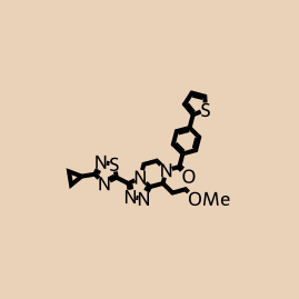 COCCC1c2nnc(-c3nc(C4CC4)ns3)n2CCN1C(=O)c1ccc(-c2cccs2)cc1